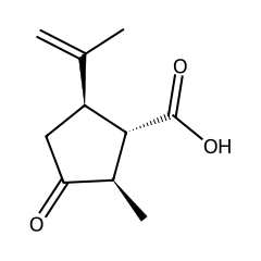 C=C(C)[C@@H]1CC(=O)[C@H](C)[C@H]1C(=O)O